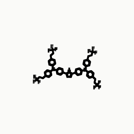 Cn1c(-c2ccc(N(c3ccc(CCC(F)(F)F)cc3)c3ccc(CCC(F)(F)F)cc3)cc2)ccc1-c1ccc(N(c2ccc(CCC(F)(F)F)cc2)c2ccc(CCC(F)(F)F)cc2)cc1